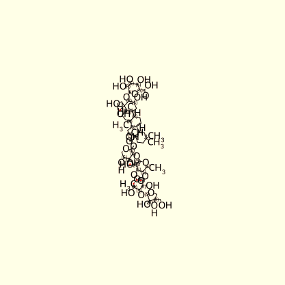 CC(=O)O[C@H]1[C@@H](O)[C@H](O[C@H]2[C@H](OC(=O)[C@]34CCC(C)(C)C[C@H]3C3=CC[C@@H]5[C@@]6(C)C[C@H](O)[C@H](O[C@@H]7O[C@H](C(=O)O)[C@@H](O)[C@H](O)[C@H]7O)C(CO)(CO)[C@@H]6CC[C@@]5(C)[C@]3(C)C[C@H]4O)OC[C@H](O)[C@@H]2O)O[C@@H](C)[C@@H]1O[C@@H]1OC[C@@H](O)[C@H](O[C@@H]2OC[C@](O)(CO)[C@H]2O)[C@H]1O